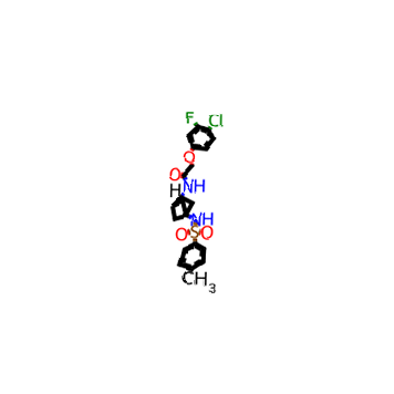 Cc1ccc(S(=O)(=O)NC23CC(C2)[C@@H](NC(=O)COc2ccc(Cl)c(F)c2)C3)cc1